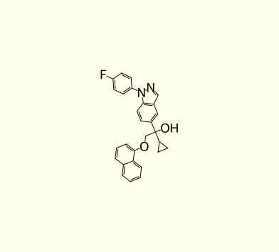 OC(COc1cccc2ccccc12)(c1ccc2c(cnn2-c2ccc(F)cc2)c1)C1CC1